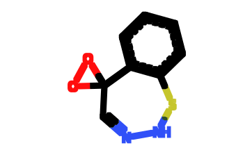 C1=NNSc2ccccc2C12OO2